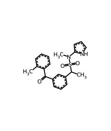 Cc1ccccc1C(=O)c1cccc(C(C)S(=O)(=O)N(C)c2ccc[nH]2)c1